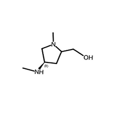 CN[C@@H]1CC(CO)N(C)C1